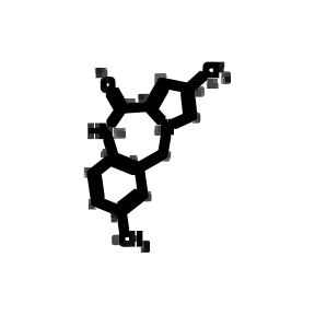 Cc1ccc2c(c1)Cn1cc(C(F)(F)F)cc1C(=O)N2